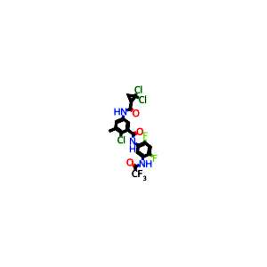 Cc1cc(NC(=O)C2CC2(Cl)Cl)cc(C(=O)Nc2cc(NC(=O)C(F)(F)F)c(F)cc2F)c1Cl